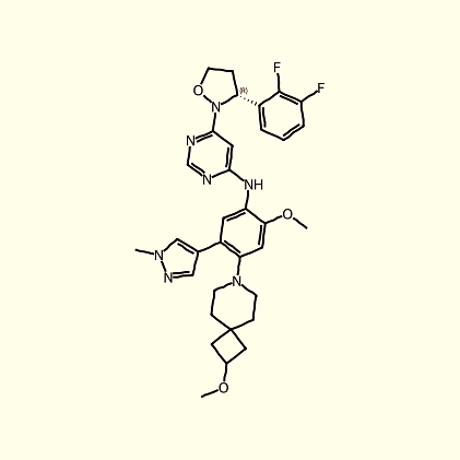 COc1cc(N2CCC3(CC2)CC(OC)C3)c(-c2cnn(C)c2)cc1Nc1cc(N2OCC[C@@H]2c2cccc(F)c2F)ncn1